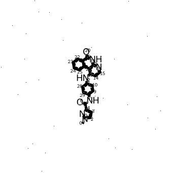 Cn1ccc(C(=O)Nc2ccc(Nc3ccnc4[nH]c(=O)c5ccccc5c34)cc2)n1